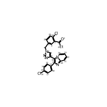 CCC(=O)c1cc(Cn2cc(-c3c(-c4ccc(Cl)cc4)nc4ccccn34)nn2)ccc1Cl